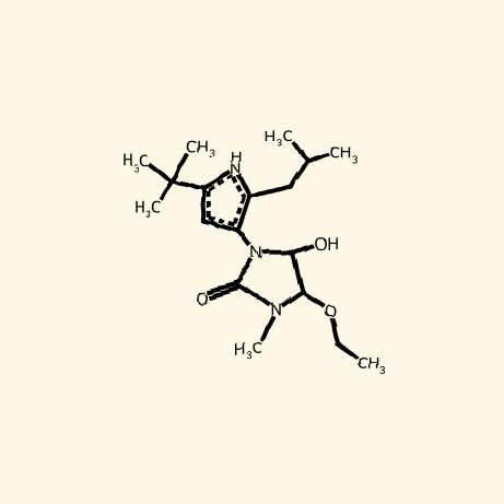 CCOC1C(O)N(c2cc(C(C)(C)C)[nH]c2CC(C)C)C(=O)N1C